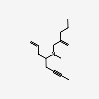 C=CCC(CC#CC)N(C)CC(=C)CCC